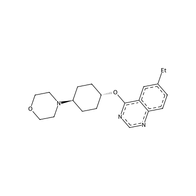 CCc1ccc2ncnc(O[C@H]3CC[C@H](N4CCOCC4)CC3)c2c1